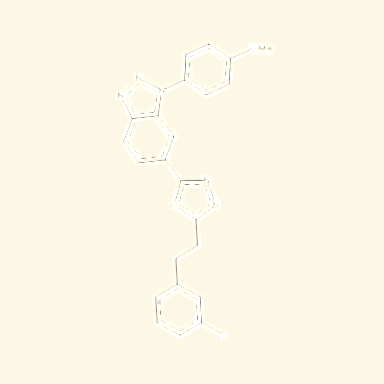 COc1ccc(-n2nnc3ccc(-c4nnc(CCc5cccc(F)c5)o4)cc32)cc1